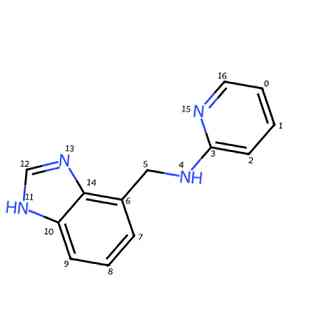 c1ccc(NCc2cccc3[nH]cnc23)nc1